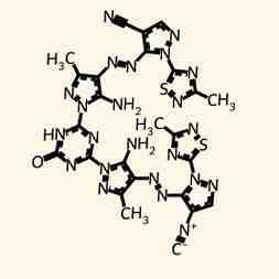 [C-]#[N+]c1cnn(-c2nc(C)ns2)c1N=Nc1c(C)nn(-c2nc(-n3nc(C)c(N=Nc4c(C#N)cnn4-c4nc(C)ns4)c3N)[nH]c(=O)n2)c1N